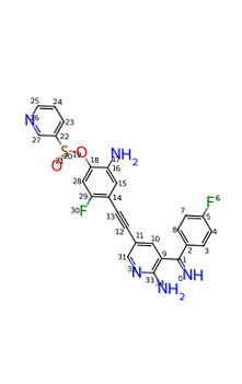 N=C(c1ccc(F)cc1)c1cc(C#Cc2cc(N)c(OS(=O)c3cccnc3)cc2F)cnc1N